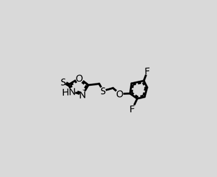 Fc1ccc(F)c(OCSCc2n[nH]c(=S)o2)c1